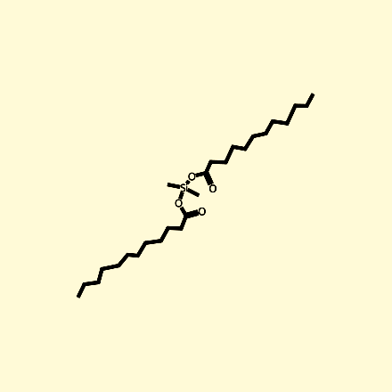 CCCCCCCCCCCC(=O)O[Si](C)(C)OC(=O)CCCCCCCCCCC